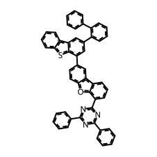 c1ccc(-c2nc(-c3ccccc3)nc(-c3cccc4c3oc3ccc(-c5cc(-c6ccccc6-c6ccccc6)cc6c5sc5ccccc56)cc34)n2)cc1